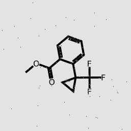 COC(=O)c1ccccc1C1(C(F)(F)F)CC1